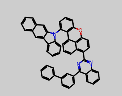 c1ccc(-c2cccc(-c3nc(-c4ccc5c6c(cccc46)-c4c(cccc4-n4c6ccccc6c6cc7ccccc7cc64)O5)nc4ccccc34)c2)cc1